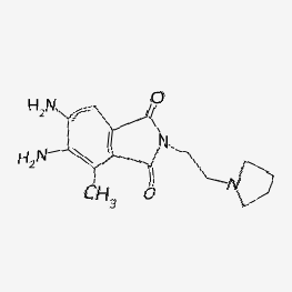 Cc1c(N)c(N)cc2c1C(=O)N(CCN1CCCC1)C2=O